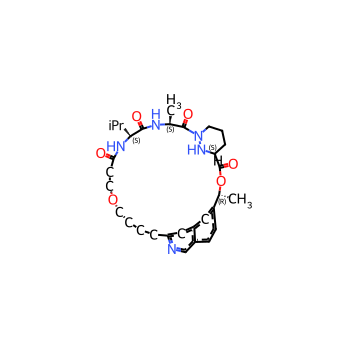 CC(C)[C@@H]1NC(=O)CCOCCCCc2cc3cc(ccc3cn2)[C@@H](C)OC(=O)[C@@H]2CCCN(N2)C(=O)[C@H](C)NC1=O